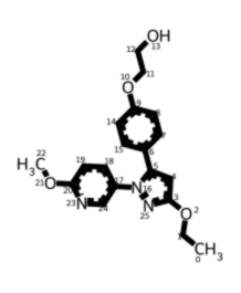 CCOc1cc(-c2ccc(OCCO)cc2)n(-c2ccc(OC)nc2)n1